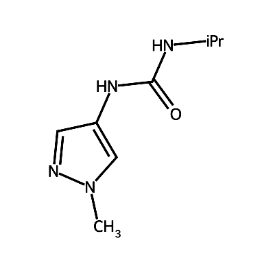 CC(C)NC(=O)Nc1cnn(C)c1